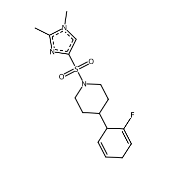 Cc1nc(S(=O)(=O)N2CCC(C3C=CCC=C3F)CC2)cn1C